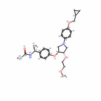 COCCO[C@H]1CN(c2ccc(OCC3CC3)cc2)C[C@@H]1Oc1ccc([C@H](C)NC(C)=O)cc1